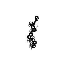 COc1cc2c(Oc3ccc4c(C(=O)Nc5cccc6c5OC(F)(F)O6)cccc4c3)ccnc2cc1OCCCN1CCCC1